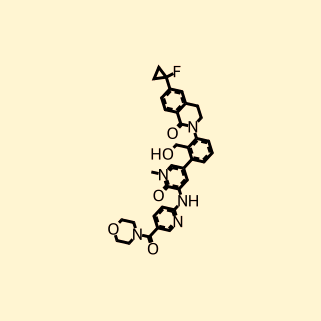 Cn1cc(-c2cccc(N3CCc4cc(C5(F)CC5)ccc4C3=O)c2CO)cc(Nc2ccc(C(=O)N3CCOCC3)cn2)c1=O